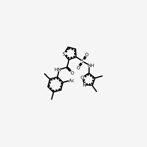 CC(=O)c1cc(C)cc(C)c1NC(=O)c1sccc1S(=O)(=O)Nc1onc(C)c1C